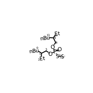 CCCCC(CC)COP(=O)(OCC(CC)CCCC)S[S]